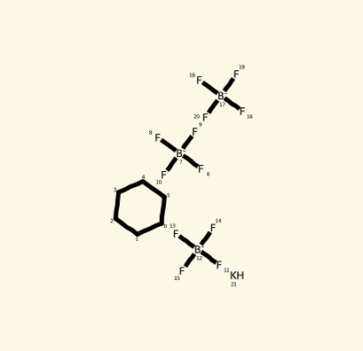 C1CCCCC1.F[B-](F)(F)F.F[B-](F)(F)F.F[B-](F)(F)F.[KH]